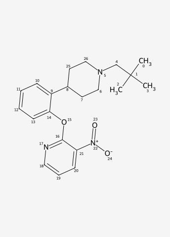 CC(C)(C)CN1CCC(c2ccccc2Oc2ncccc2[N+](=O)[O-])CC1